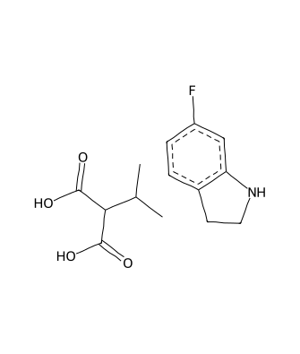 CC(C)C(C(=O)O)C(=O)O.Fc1ccc2c(c1)NCC2